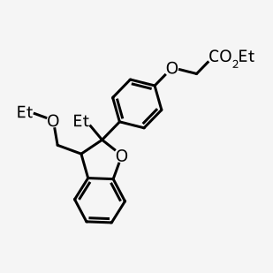 CCOCC1c2ccccc2OC1(CC)c1ccc(OCC(=O)OCC)cc1